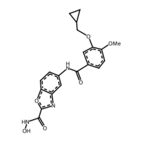 COc1ccc(C(=O)Nc2ccc3oc(C(=O)NO)nc3c2)cc1OCC1CC1